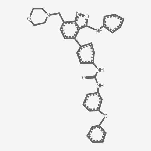 O=C(Nc1ccc(-c2ccc(CN3CCOCC3)c3noc(Nc4ccccc4)c23)cc1)Nc1cccc(Oc2ccccc2)c1